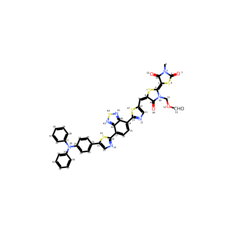 CN1C(=O)S/C(=c2/s/c(=C/c3cnc(-c4ccc(-c5ncc(-c6ccc(N(c7ccccc7)c7ccccc7)cc6)s5)c5nsnc45)s3)c(=O)n2COC=O)C1=O